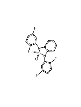 O=S1(=O)N(c2cc(F)ccc2F)c2ccccc2N1c1cc(F)ccc1F